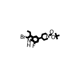 CCc1c(Br)[nH]c2c(F)cc(C3CCN(C(=O)OC(C)(C)C)CC3)cc12